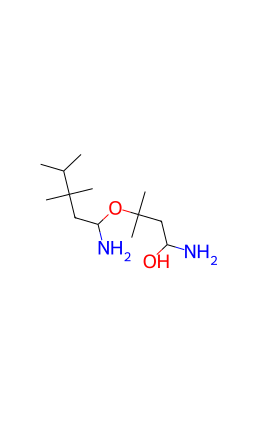 CC(C)C(C)(C)CC(N)OC(C)(C)CC(N)O